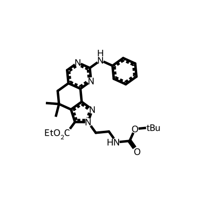 CCOC(=O)c1c2c(nn1CCNC(=O)OC(C)(C)C)-c1nc(Nc3ccccc3)ncc1CC2(C)C